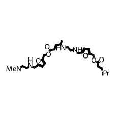 CNCCNCc1ccc(COC(=O)CCC(C)NCCNCc2ccc(COC(=O)CCC(C)C)o2)o1